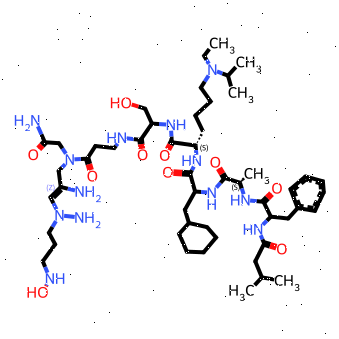 CCN(CCCC[C@H](NC(=O)C(CC1CCCCC1)NC(=O)[C@H](C)NC(=O)C(Cc1ccccc1)NC(=O)CC(C)C)C(=O)NC(CO)C(=O)NCCC(=O)N(CC(N)=O)C/C(N)=C/N(N)CCCNO)C(C)C